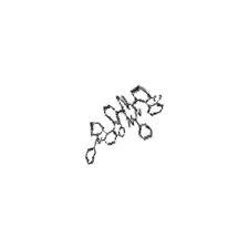 C1=CC2C(c3ccccc3N2c2ccccc2)c2c1oc1c(-c3nc(-c4ccccc4)nc(-c4cccc5oc6ccccc6c45)n3)cccc21